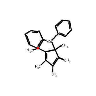 CCC1=C(C)C(C)=C(C)C1(C)[SiH](c1ccccc1)c1ccccc1